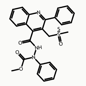 COC(=O)N(NC(=O)c1c(CS(C)(=O)=S)c(-c2ccccc2)nc2ccccc12)c1ccccc1